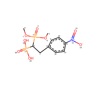 COP(=O)(OC)C(Cc1ccc([N+](=O)[O-])cc1)P(=O)(O)O